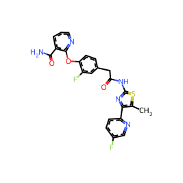 Cc1sc(NC(=O)Cc2ccc(Oc3ncccc3C(N)=O)c(F)c2)nc1-c1ccc(F)cn1